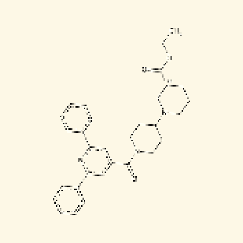 CCOC(=O)[C@@H]1CCCN(C2CCN(C(=O)c3cc(-c4ccccc4)nc(-c4ccccc4)c3)CC2)C1